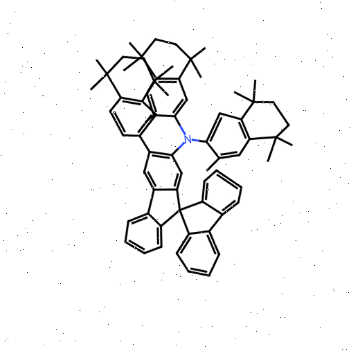 Cc1cc2c(cc1N(c1cc3c(cc1C)C(C)(C)CCC3(C)C)c1cc3c(cc1-c1ccc4c(c1)C(C)(C)CCC4(C)C)-c1ccccc1C31c3ccccc3-c3ccccc31)C(C)(C)CCC2(C)C